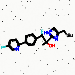 CC(C)(C)Cc1c[nH]c(C(C)(O)C(F)c2ccc(-c3ccc(F)cn3)cc2)n1